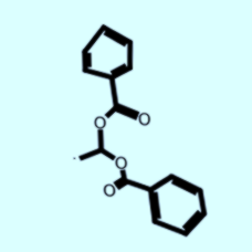 [CH2]C(OC(=O)c1ccccc1)OC(=O)c1ccccc1